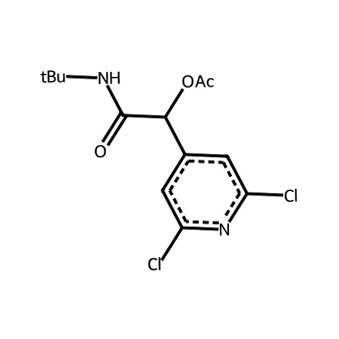 CC(=O)OC(C(=O)NC(C)(C)C)c1cc(Cl)nc(Cl)c1